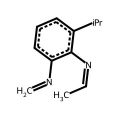 C=Nc1cccc(C(C)C)c1/N=C\C